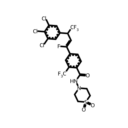 O=C(NN1CCS(=O)(=O)CC1)c1ccc(/C(F)=C/C(c2cc(Cl)c(Cl)c(Cl)c2)C(F)(F)F)cc1C(F)(F)F